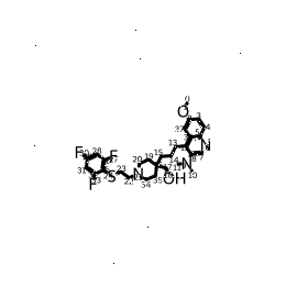 COc1ccc2ncc(N(C)C)c(CCCC3(CO)CCN(CCSc4c(F)cc(F)cc4F)CC3)c2c1